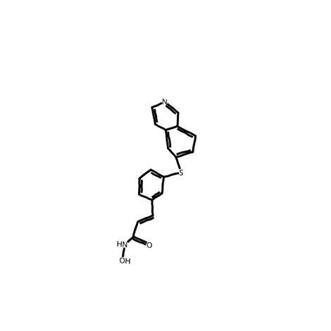 O=C(/C=C/c1cccc(Sc2ccc3cnccc3c2)c1)NO